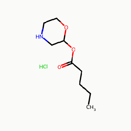 CCCCC(=O)OC1CNCCO1.Cl